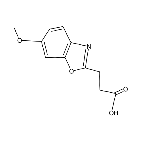 COc1ccc2nc(CCC(=O)O)oc2c1